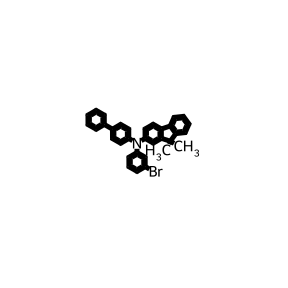 CC1(C)c2ccccc2-c2ccc(N(c3ccc(-c4ccccc4)cc3)c3cccc(Br)c3)cc21